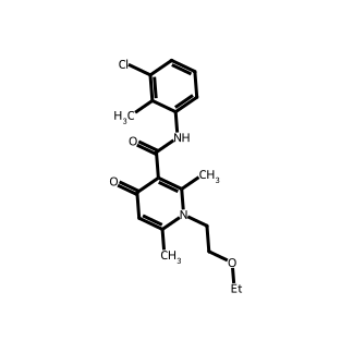 CCOCCn1c(C)cc(=O)c(C(=O)Nc2cccc(Cl)c2C)c1C